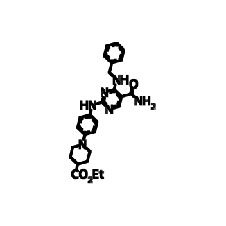 CCOC(=O)C1CCN(c2ccc(Nc3ncc(C(N)=O)c(NCc4ccccc4)n3)cc2)CC1